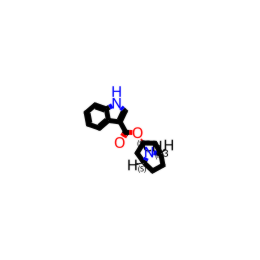 CN1[C@@H]2CC[C@H]1C[C@H](OC(=O)c1c[nH]c3ccccc13)C2